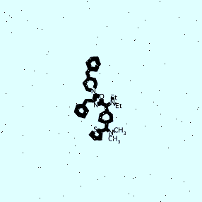 CCN(CC)C(c1nc(Cc2ccccc2)c(N2CCC(Cc3ccccc3)CC2)o1)C1CCC(C(c2cccs2)N(C)C)CC1